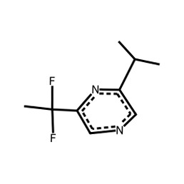 CC(C)c1cncc(C(C)(F)F)n1